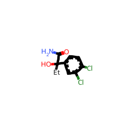 CCC(O)(C(N)=O)c1ccc(Cl)c(Cl)c1